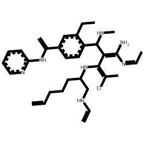 C=CCCCC(CNC=C)NC(=C(/C)Cl)/C(=C(N)\N=C/C)C(NC)c1ccc(C(=C)Nc2ccccn2)cc1CC